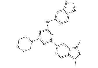 Cc1nn(C)c2cc(-c3cc(Nc4ccc5ncoc5c4)nc(N4CCOCC4)n3)ccc12